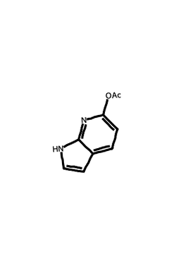 CC(=O)Oc1ccc2cc[nH]c2n1